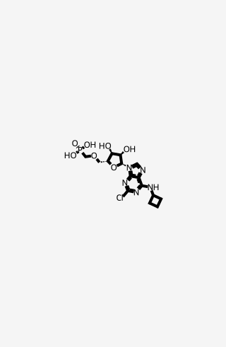 O=P(O)(O)COC[C@H]1O[C@@H](n2cnc3c(NC4CCC4)nc(Cl)nc32)[C@H](O)[C@@H]1O